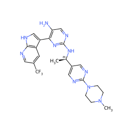 C[C@@H](Nc1ncc(N)c(-c2c[nH]c3ncc(C(F)(F)F)cc23)n1)c1cnc(N2CCN(C)CC2)nc1